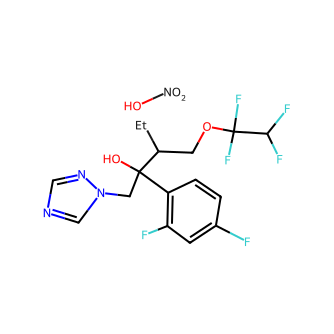 CCC(COC(F)(F)C(F)F)C(O)(Cn1cncn1)c1ccc(F)cc1F.O=[N+]([O-])O